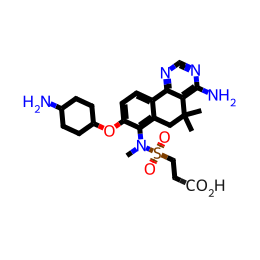 CN(c1c(OC2CCC(N)CC2)ccc2c1CC(C)(C)c1c(N)ncnc1-2)S(=O)(=O)CCC(=O)O